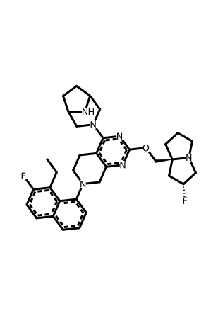 CCc1c(F)ccc2cccc(N3CCc4c(nc(OC[C@@]56CCCN5C[C@H](F)C6)nc4N4CC5CCC(C4)N5)C3)c12